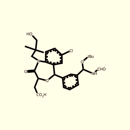 CC(C)(CO)CN1C(=O)C(CC(=O)O)OC(c2cccc(C(NC=O)OC(C)(C)C)c2)c2cc(Cl)ccc21